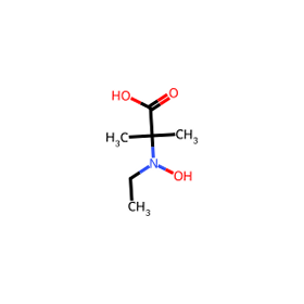 CCN(O)C(C)(C)C(=O)O